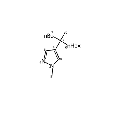 CCCCCCC(C)(CCCC)c1cnn(C)c1